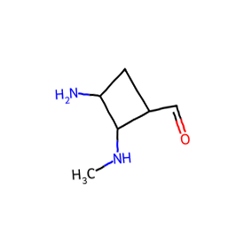 CNC1C(N)CC1C=O